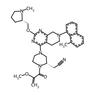 C=C(OC)C(=O)N1CCN(c2nc(OC[C@@H]3CCCN3C)nc3c2CCN(c2cccc4cccc(C)c24)C3)C[C@@H]1CC#N